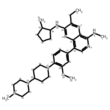 CCc1nc2c(NC)ncc(-c3ccc(N4CCC(N5CCN(C)CC5)CC4)c(OC)c3)c2nc1NC1CCCC1C